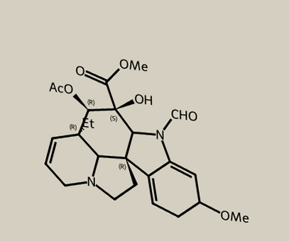 CC[C@]12C=CCN3CC[C@@]4(C5=CCC(OC)C=C5N(C=O)C4[C@@](O)(C(=O)OC)[C@@H]1OC(C)=O)C32